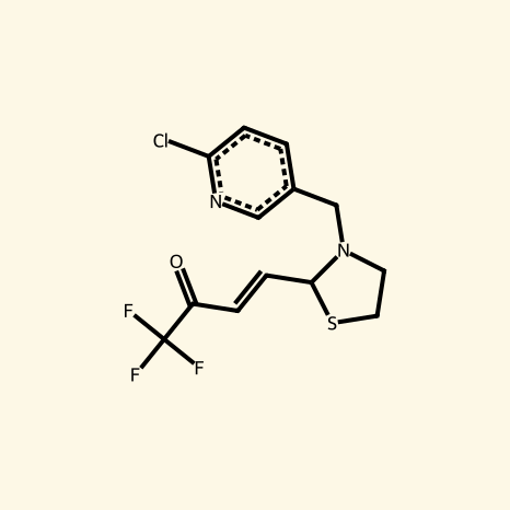 O=C(C=CC1SCCN1Cc1ccc(Cl)nc1)C(F)(F)F